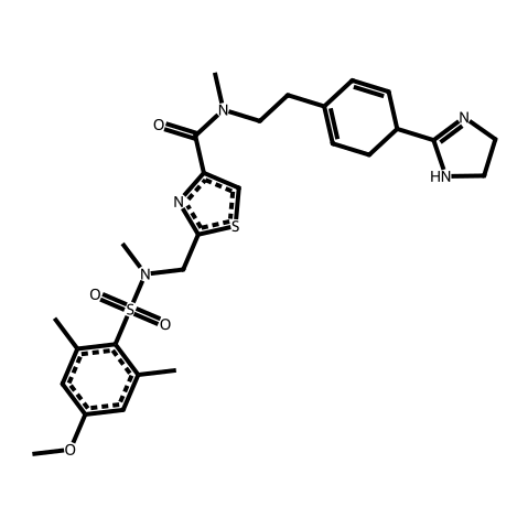 COc1cc(C)c(S(=O)(=O)N(C)Cc2nc(C(=O)N(C)CCC3=CCC(C4=NCCN4)C=C3)cs2)c(C)c1